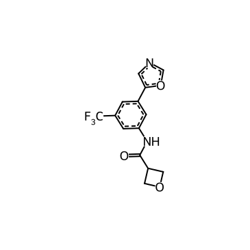 O=C(Nc1cc(-c2cnco2)cc(C(F)(F)F)c1)C1COC1